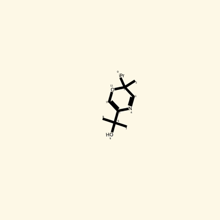 CC(C)C1(C)C=NC(C(C)(C)O)=CO1